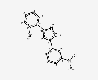 CC(=O)N(Cl)c1cccc(-c2cc(-c3ccccc3Br)no2)c1